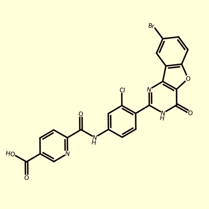 O=C(O)c1ccc(C(=O)Nc2ccc(-c3nc4c(oc5ccc(Br)cc54)c(=O)[nH]3)c(Cl)c2)nc1